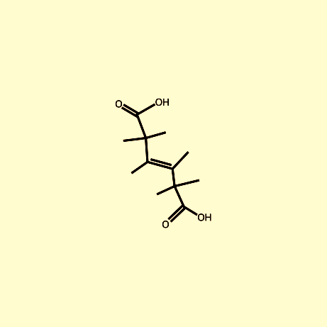 CC(=C(C)C(C)(C)C(=O)O)C(C)(C)C(=O)O